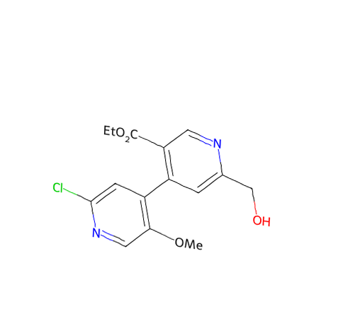 CCOC(=O)c1cnc(CO)cc1-c1cc(Cl)ncc1OC